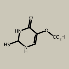 O=C(O)OC1=CNC(S)NC1=O